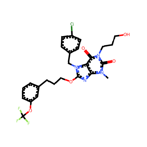 Cn1c(=O)n(CCCO)c(=O)c2c1nc(OCCCc1cccc(OC(F)(F)F)c1)n2Cc1ccc(Cl)cc1